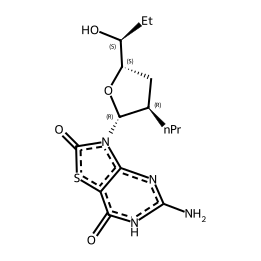 CCC[C@@H]1C[C@@H]([C@@H](O)CC)O[C@H]1n1c(=O)sc2c(=O)[nH]c(N)nc21